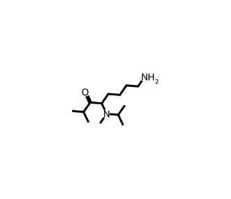 CC(C)C(=O)C(CCCCN)N(C)C(C)C